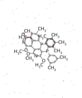 COc1ccc(-c2c(OC)nc(OC)c(P(c3cc(C)cc(C)c3)c3cc(C)cc(C)c3)c2P(c2cc(C)cc(C)c2)c2cc(C)cc(C)c2)c(OC)n1